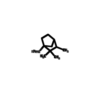 CCCCCC12CCC(C1)C(C)C2(C)C